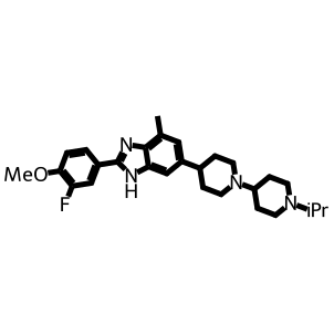 COc1ccc(-c2nc3c(C)cc(C4CCN(C5CCN(C(C)C)CC5)CC4)cc3[nH]2)cc1F